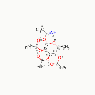 CCCC(=O)O[C@@H]1[C@@H](OC(=O)CCC)[C@@H](OC(=O)CCC)C(OC(=N)C(Cl)(Cl)Cl)O[C@H]1C